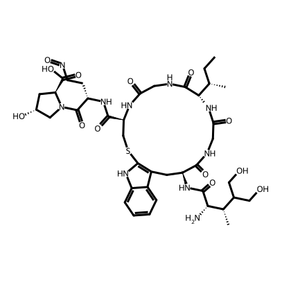 CC[C@H](C)[C@@H]1NC(=O)CNC(=O)[C@@H](NC(=O)[C@@H](N)[C@@H](C)C(CO)CO)Cc2c([nH]c3ccccc23)SC[C@@H](C(=O)N[C@@H](CCN=O)C(=O)N2C[C@H](O)C[C@H]2C(=O)O)NC(=O)CNC1=O